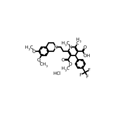 COC(=O)C1=C(CCN2CCc3cc(OC)c(OC)cc3C2)N(C)C(C)=C(C(=O)O)C1c1ccc(C(F)(F)F)cc1.Cl